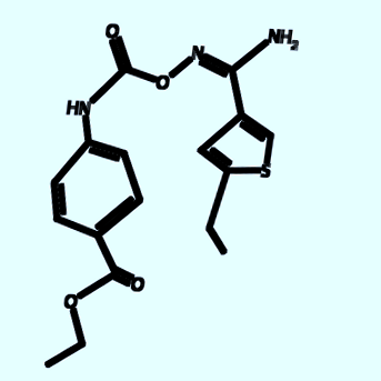 CCOC(=O)c1ccc(NC(=O)O/N=C(/N)c2csc(CC)c2)cc1